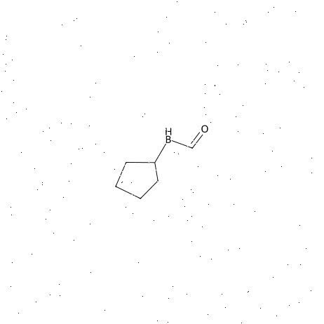 O=CBC1CCCC1